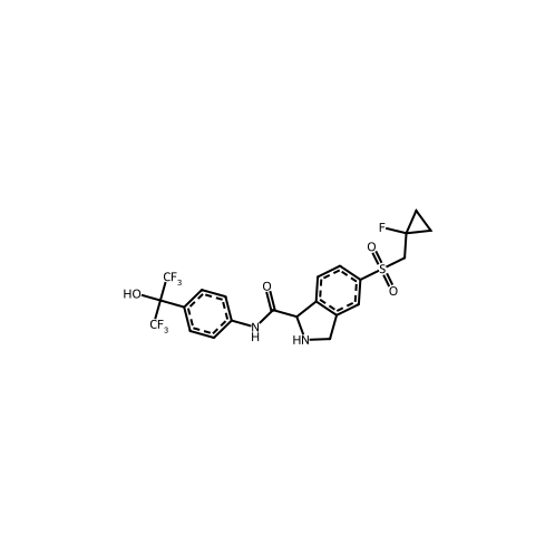 O=C(Nc1ccc(C(O)(C(F)(F)F)C(F)(F)F)cc1)C1NCc2cc(S(=O)(=O)CC3(F)CC3)ccc21